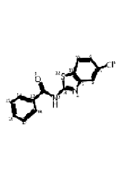 O=C(Nc1nc2cc(Cl)ccc2s1)c1ccccc1